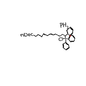 CCCCCCCCCCCCCCCCCCCCC(c1ccccc1)C(Cl)(c1ccccc1)c1ccccc1.P